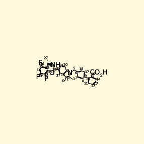 Cc1c(C)n(Cc2ccc(-c3ccccc3C(=O)O)cc2)c2ccc(C(=O)N[C@@H](C)c3cc(F)c(F)cc3F)cc12